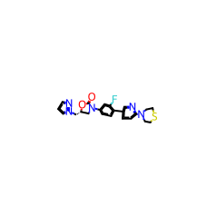 O=C1O[C@@H](Cn2cccn2)CN1c1ccc(-c2ccc(N3CCSCC3)nc2)c(F)c1